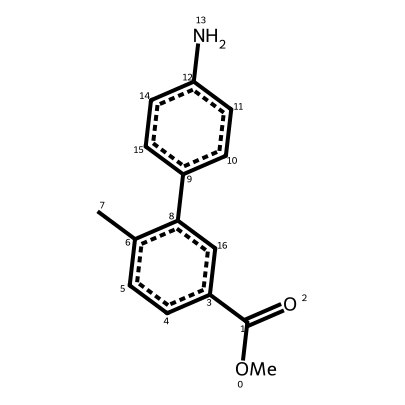 COC(=O)c1ccc(C)c(-c2ccc(N)cc2)c1